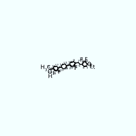 CCOc1ccc(CCc2ccc(C3CCC(c4ccc(C(C)O)c(F)c4F)CC3)cc2F)c(F)c1F